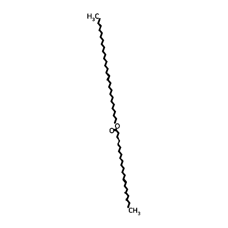 CCCCCCCCC=CCCCCCCCCCCCCCC(=O)OCCCCCCCCCCCCCCCCCCCCCCCCCCCCCCC